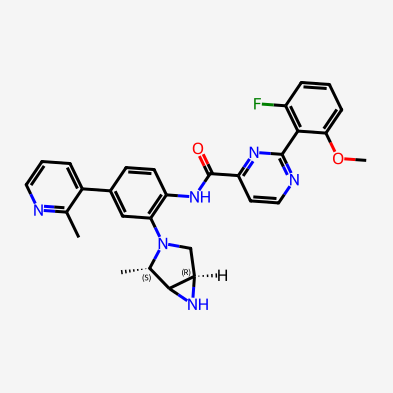 COc1cccc(F)c1-c1nccc(C(=O)Nc2ccc(-c3cccnc3C)cc2N2C[C@H]3NC3[C@@H]2C)n1